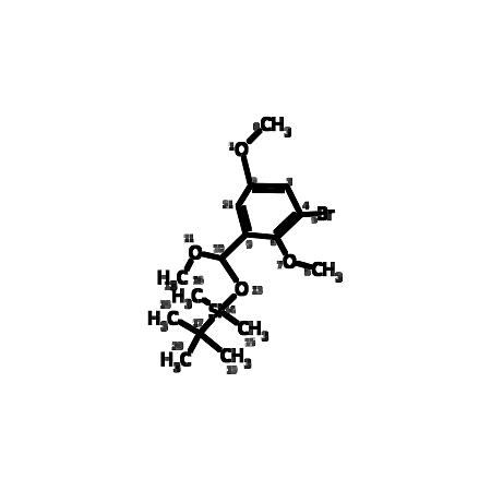 COc1cc(Br)c(OC)c(C(OC)O[Si](C)(C)C(C)(C)C)c1